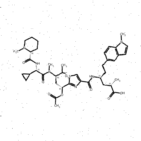 CC(=O)O[C@H](C[C@H](C(C)C)N(C)C(=O)[C@@H](NC(=O)[C@H]1CCCCN1C)C1CC1)c1nc(C(=O)N[C@@H](CCc2ccc3c(ccn3C)c2)C[C@H](C)C(=O)O)cs1